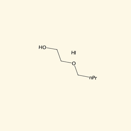 CCCCOCCO.I